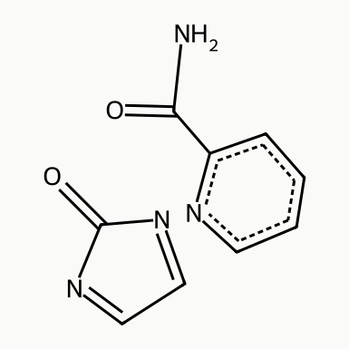 NC(=O)c1ccccn1.O=C1N=CC=N1